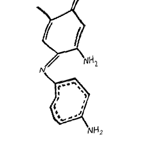 C=C1C=C(N)/C(=N\c2ccc(N)cc2)C=C1C